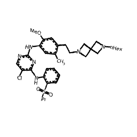 CCCCCCN1CC2(C1)CN(CCc1cc(OC)c(Nc3ncc(Cl)c(Nc4ccccc4S(=O)(=O)C(C)C)n3)cc1C)C2